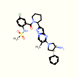 Cc1cn2nc(C3CCCCN3C(=O)c3cc(Cl)ccc3NS(C)(=O)=O)cc2nc1N1C[C@@H](N)[C@H](c2ccccc2)C1